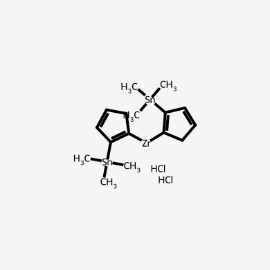 Cl.Cl.[CH3][Sn]([CH3])([CH3])[C]1=[C]([Zr][C]2=[C]([Sn]([CH3])([CH3])[CH3])C=CC2)CC=C1